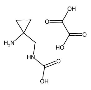 NC1(CNC(=O)O)CC1.O=C(O)C(=O)O